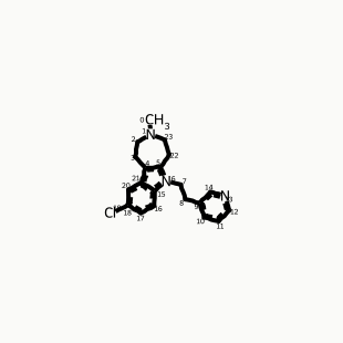 CN1CCc2c(n(CCc3cccnc3)c3ccc(Cl)cc23)CC1